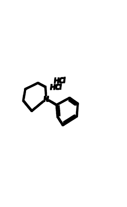 Cl.Cl.c1ccc(N2CCCCC2)cc1